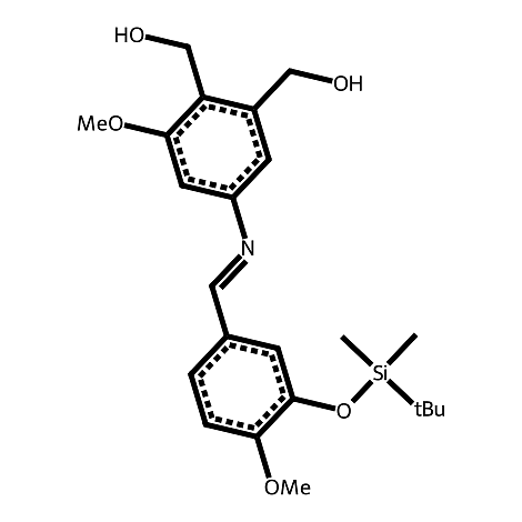 COc1ccc(/C=N/c2cc(CO)c(CO)c(OC)c2)cc1O[Si](C)(C)C(C)(C)C